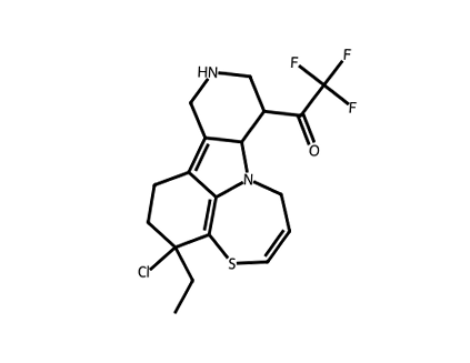 CCC1(Cl)CCC2=C3CNCC(C(=O)C(F)(F)F)C3N3CC=CSC1=C23